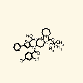 CC(C)(C)OC(=O)N1CCCCCC1N1CCCC(N(C(=O)c2ccc(Cl)cc2Cl)c2cc(-c3ccccc3)sc2C(=O)O)CC1